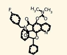 CN(C)C(=O)Oc1c2c(c(OC(c3ccccc3)c3ccccc3)c3ncccc13)C(=O)N(Cc1ccc(F)cc1)C2=O